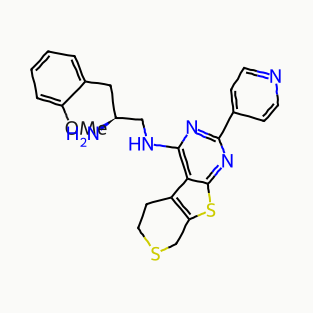 COc1ccccc1C[C@H](N)CNc1nc(-c2ccncc2)nc2sc3c(c12)CCSC3